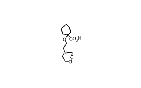 O=C(O)C1(OCCN2CCOCC2)CCCCC1